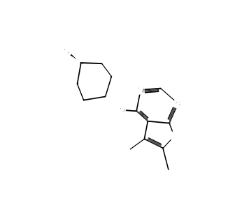 Cc1sc2ncnc(N[C@H]3CC[C@H](N)CC3)c2c1C